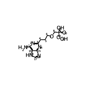 Nc1nc(CCCOCP(=O)(O)OO)nc2nc[nH]c12